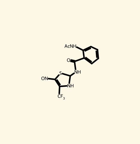 CC(=O)Nc1ccccc1C(=O)NC1NC(C(F)(F)F)=C(N=O)S1